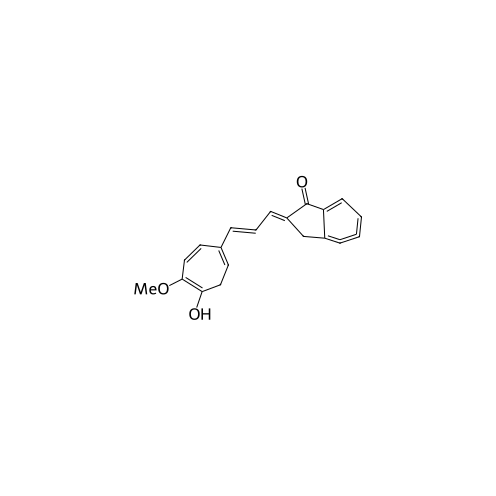 COC1=C(O)CC=C(/C=C/C=C2\CC3=C=C=CC=C3C2=O)C=C1